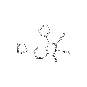 Cn1c(C#N)c(-c2ccccc2)c2cc(-c3ccsc3)ccc2c1=O